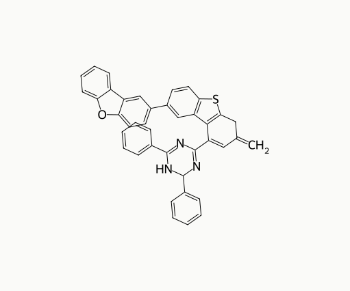 C=C1C=C(C2=NC(c3ccccc3)NC(c3ccccc3)=N2)c2c(sc3ccc(-c4ccc5oc6ccccc6c5c4)cc23)C1